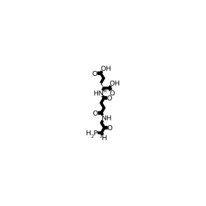 [3H]C(P)C(=O)CNC(=O)CCC(=O)N[C@H](CCC(=O)O)C(=O)O